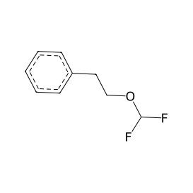 FC(F)OCCc1ccccc1